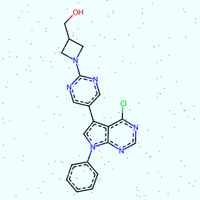 OCC1CN(c2ncc(-c3cn(-c4ccccc4)c4ncnc(Cl)c34)cn2)C1